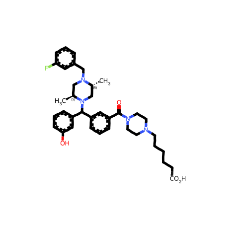 C[C@@H]1CN(C(c2cccc(O)c2)c2cccc(C(=O)N3CCN(CCCCCC(=O)O)CC3)c2)[C@@H](C)CN1Cc1cccc(F)c1